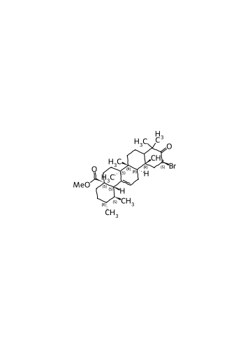 COC(=O)[C@]12CC[C@@H](C)[C@H](C)[C@H]1C1=CC[C@@H]3[C@@]4(C)C[C@H](Br)C(=O)C(C)(C)C4CC[C@@]3(C)[C@]1(C)CC2